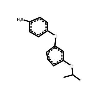 Bc1ccc(Oc2cccc(OC(C)C)c2)cc1